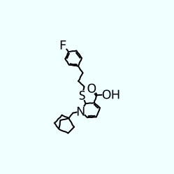 O=C(O)C1=CC=CN(CC23CCC(CC2)C3)C1SCCCc1ccc(F)cc1